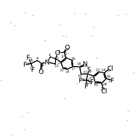 O=C1OC2(CN(C(=O)CC(F)(F)F)C2)c2ccc(C3=NSC(c4cc(Cl)c(F)c(Cl)c4)(C(F)(F)F)C3)cc21